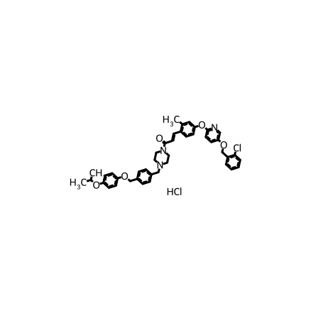 Cc1cc(Oc2ccc(OCc3ccccc3Cl)cn2)ccc1C=CC(=O)N1CCN(Cc2ccc(COc3ccc(OC(C)C)cc3)cc2)CC1.Cl